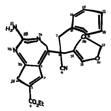 CCOC(=O)c1cc2c(C(C#N)(Cc3ccccc3)C3=COCO3)nc(N)nc2s1